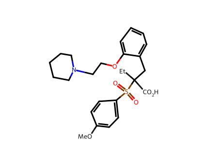 CCC(Cc1ccccc1OCCN1CCCCC1)(C(=O)O)S(=O)(=O)c1ccc(OC)cc1